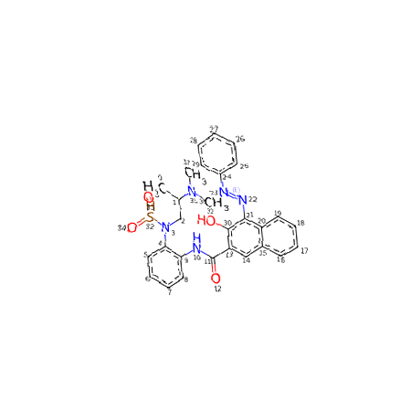 CC(CN(c1ccccc1NC(=O)c1cc2ccccc2c(/N=N/c2ccccc2)c1O)[SH](=O)=O)N(C)C